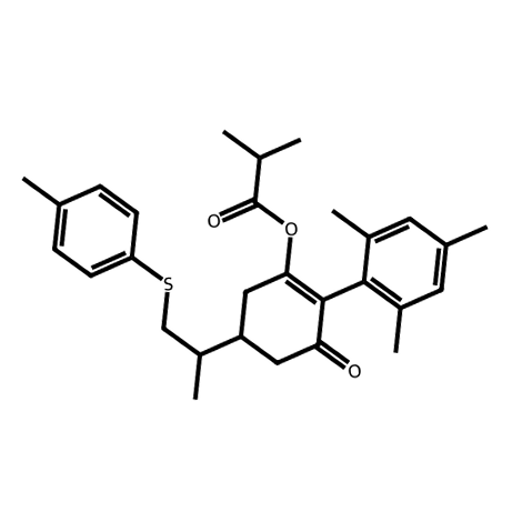 Cc1ccc(SCC(C)C2CC(=O)C(c3c(C)cc(C)cc3C)=C(OC(=O)C(C)C)C2)cc1